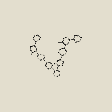 Cc1ccc(-c2ccccc2)cc1-c1ccc(-c2ccc3c4ccccc4c4ccc(-c5ccc(-c6cc(-c7ccccc7)ccc6C)cc5)cc4c3c2)cc1